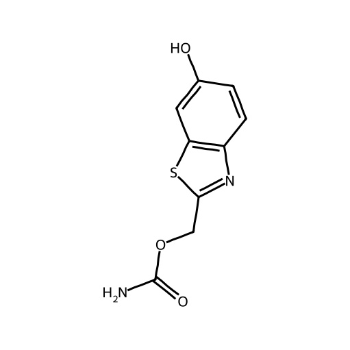 NC(=O)OCc1nc2ccc(O)cc2s1